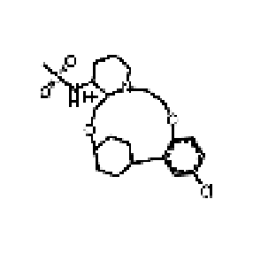 CS(=O)(=O)N[C@H]1CCCN2CCOc3ccc(Cl)cc3C3CCC(CC3)OC[C@@H]12